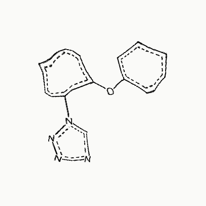 c1ccc(Oc2ccccc2-n2cnnn2)cc1